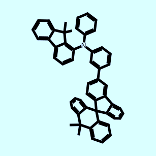 CC1(C)c2ccccc2C2(c3ccccc3-c3cc(-c4cccc(N(c5ccccc5)c5cccc6c5C(C)(C)c5ccccc5-6)c4)ccc32)c2ccccc21